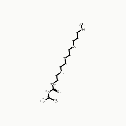 CNCCCOCCOCCOCCNC(=O)OC(C)C